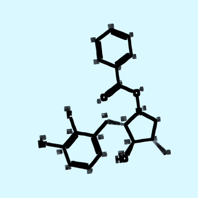 C[C@H]1CN(OC(=O)c2ccccc2)[C@@H](Cc2cccc(Br)c2F)[C@@H]1O